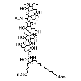 CCCCCCCCCCCCC/C=C/[C@@H](O)[C@H](CO[C@@H]1OC(CO)[C@@H](O[C@@H]2OC(CO)[C@H](O)[C@H](O[C@H]3OC(CO)[C@H](O)[C@H](O[C@@H]4OC(CO)[C@H](O)[C@H](O[C@@H]5OC(CO)[C@H](O)[C@H](O)C5O)C4NC(C)=O)C3O)C2O)[C@H](O)C1O)NC(=O)CCCCCCCCCCCCCCCCCCCCC